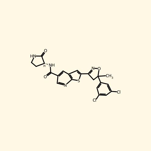 CC1(c2cc(Cl)cc(Cl)c2)CC(c2cc3cc(C(=O)N[C@@H]4CCNC4=O)cnc3s2)=NO1